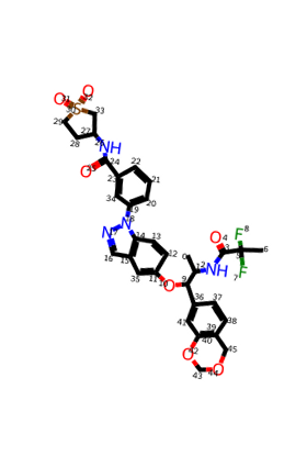 CC(NC(=O)C(C)(F)F)C(Oc1ccc2c(cnn2-c2cccc(C(=O)NC3CCS(=O)(=O)C3)c2)c1)c1ccc2c(c1)OCOC2